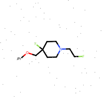 CC(C)OCC1(F)CCN(CCF)CC1